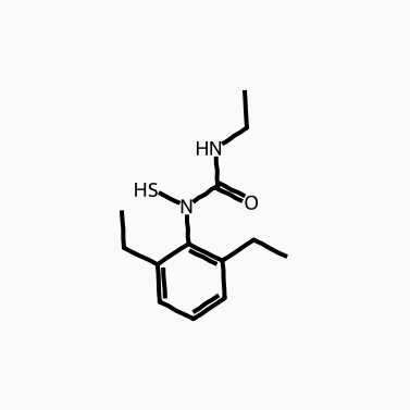 CCNC(=O)N(S)c1c(CC)cccc1CC